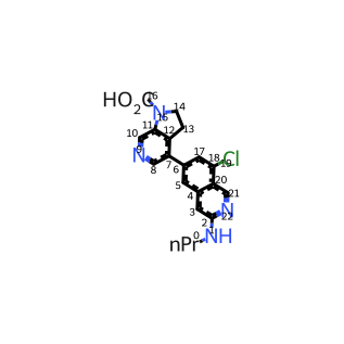 CCCNc1cc2cc(-c3cncc4c3CCN4C(=O)O)cc(Cl)c2cn1